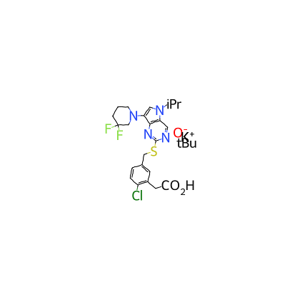 CC(C)(C)[O-].CC(C)n1cc(N2CCCC(F)(F)C2)c2nc(SCc3ccc(Cl)c(CC(=O)O)c3)ncc21.[K+]